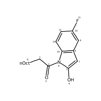 CCCCCCCCCC(=O)n1c(O)cc2cc(F)ccc21